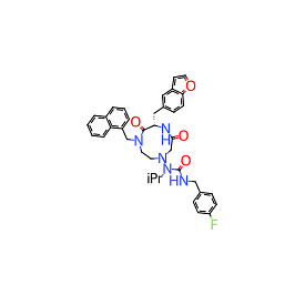 CC(C)N(C(=O)NCc1ccc(F)cc1)N1CCN(Cc2cccc3ccccc23)C(=O)[C@H](Cc2ccc3occc3c2)NC(=O)C1